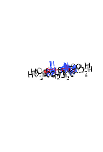 CN(C)c1nc(Nc2cccc(CC3CN(CC(=O)O)CCN(CC(=O)O)CCN(CC(=O)O)CCN3CC(=O)O)c2)nc(N2CCN(CCCCCCCCCCC(=O)NCCCC[C@H](NC(=O)N[C@@H](CCC(=O)O)C(=O)O)C(=O)O)CC2)n1